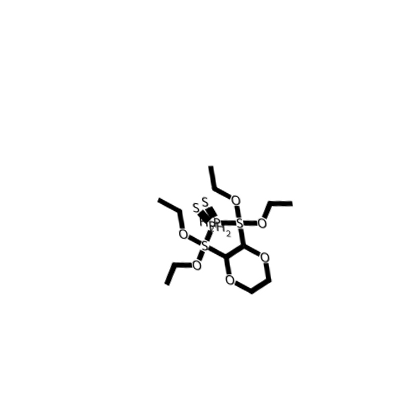 CCOS(OCC)([PH2]=S)C1OCCOC1S(OCC)(OCC)[PH2]=S